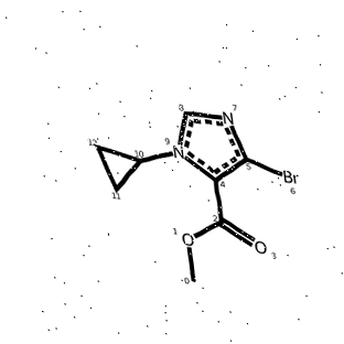 COC(=O)c1c(Br)ncn1C1CC1